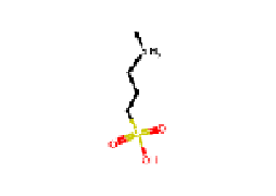 C[SiH2]CCCS(=O)(=O)O